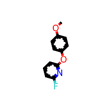 COc1ccc(Oc2cccc(F)n2)cc1